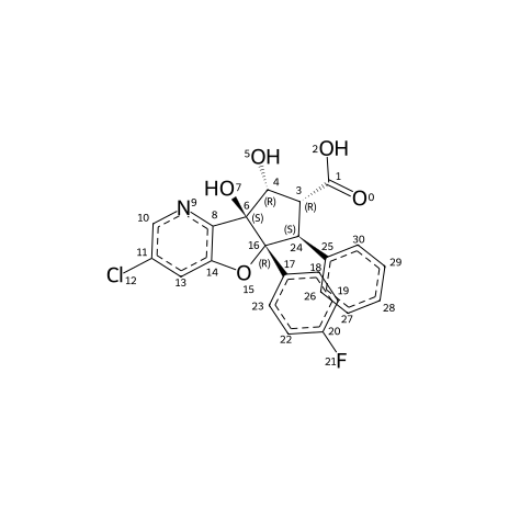 O=C(O)[C@H]1[C@@H](O)[C@@]2(O)c3ncc(Cl)cc3O[C@@]2(c2ccc(F)cc2)[C@@H]1c1ccccc1